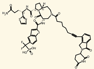 NC(=O)CC[C@H](NC(=O)[C@@H]1CC[C@@H]2CCN(C(=O)CCCCCC#Cc3cccc4c3CN(C3CCC(=O)NC3=O)C4=O)C[C@H](NC(=O)c3cc4cc(C(F)(F)P(=O)(O)O)ccc4s3)C(=O)N21)c1nccs1